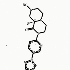 N#CN1CCN2CCN(c3ccc(-n4cccn4)cn3)C(=O)[C@H]2C1